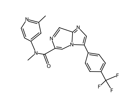 Cc1cc(N(C)C(=O)c2cn3c(-c4ccc(C(F)(F)F)cc4)cnc3cn2)ccn1